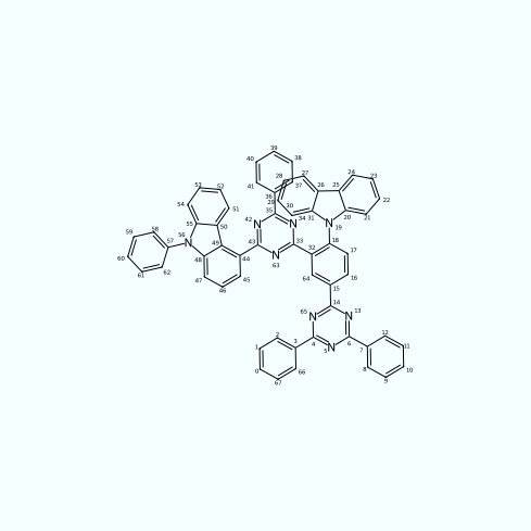 c1ccc(-c2nc(-c3ccccc3)nc(-c3ccc(-n4c5ccccc5c5ccccc54)c(-c4nc(-c5ccccc5)nc(-c5cccc6c5c5ccccc5n6-c5ccccc5)n4)c3)n2)cc1